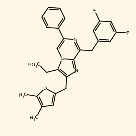 Cc1cc(Cc2nc3c(Cc4cc(F)cc(F)c4)nc(-c4ccccc4)cn3c2CC(=O)O)oc1C